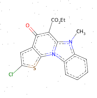 CCOC(=O)c1c(=O)c2cc(Cl)sc2n2c3ccccc3n(C)c12